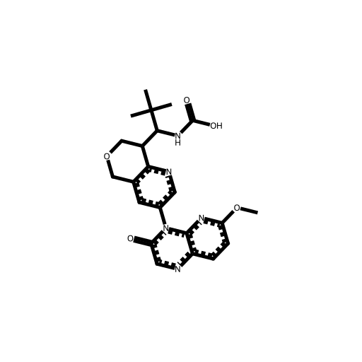 COc1ccc2ncc(=O)n(-c3cnc4c(c3)COCC4C(NC(=O)O)C(C)(C)C)c2n1